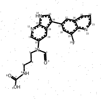 O=CN(CCCNC(=O)O)c1cnc2[nH]cc(-c3cc(F)c4ncccc4c3)c2c1